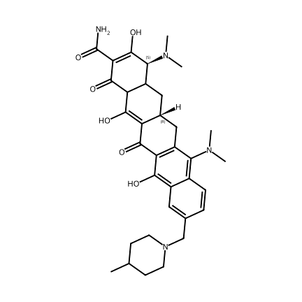 CC1CCN(Cc2ccc3c(N(C)C)c4c(c(O)c3c2)C(=O)C2=C(O)C3C(=O)C(C(N)=O)=C(O)[C@@H](N(C)C)C3C[C@@H]2C4)CC1